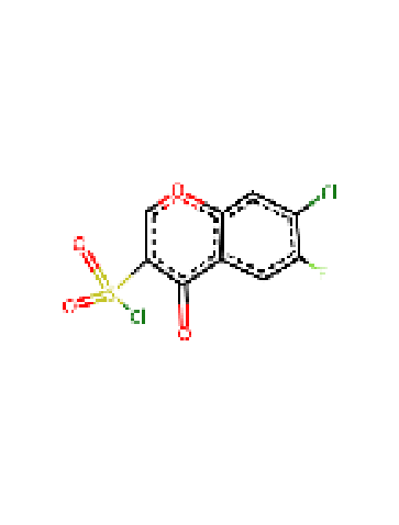 O=c1c(S(=O)(=O)Cl)coc2cc(Cl)c(F)cc12